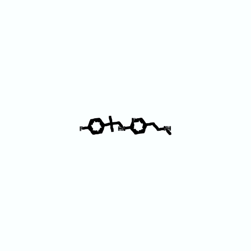 CNCCc1ccc(NCC(C)(C)c2ccc(F)cc2)nc1